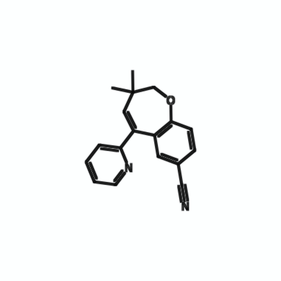 CC1(C)C=C(c2ccccn2)c2cc(C#N)ccc2OC1